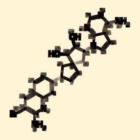 Nc1nc2cc([C@H]3C=C[C@@]4(C[C@@H](n5ccc6c(N)ncnc65)[C@H](O)[C@@H]4O)C3)ccc2cc1Br